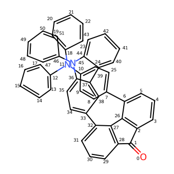 O=C1c2cccc(-c3ccc(N(c4ccccc4)c4ccccc4)cc3)c2-c2c1cccc2-c1ccc2c(c1)c1ccccc1n2-c1ccccc1